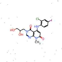 Cn1c(=O)cc(Nc2ccc(I)cc2Cl)c2c(=O)n(CC(O)CO)cnc21